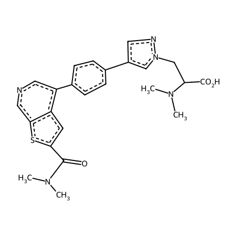 CN(C)C(=O)c1cc2c(-c3ccc(-c4cnn(CC(C(=O)O)N(C)C)c4)cc3)cncc2s1